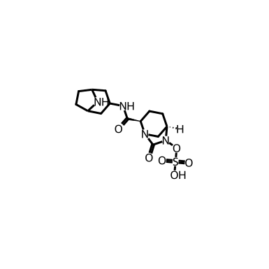 O=C(NC1CC2CCC(C1)N2)[C@H]1CC[C@@H]2CN1C(=O)N2OS(=O)(=O)O